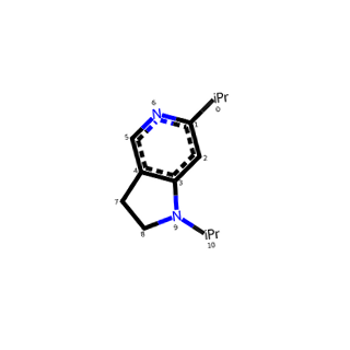 CC(C)c1cc2c(cn1)CCN2C(C)C